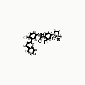 CN1CCN(c2ccc(C(=O)Nc3ccc(Cl)c(-c4ccc5cnccc5n4)c3)c(F)c2)S1(=O)=O